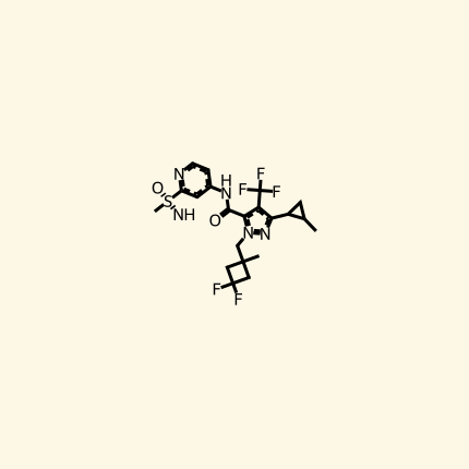 CC1CC1c1nn(CC2(C)CC(F)(F)C2)c(C(=O)Nc2ccnc(S(C)(=N)=O)c2)c1C(F)(F)F